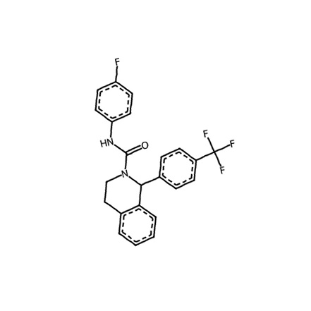 O=C(Nc1ccc(F)cc1)N1CCc2ccccc2C1c1ccc(C(F)(F)F)cc1